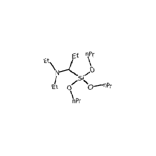 CCCO[Si](OCCC)(OCCC)C(CC)N(CC)CC